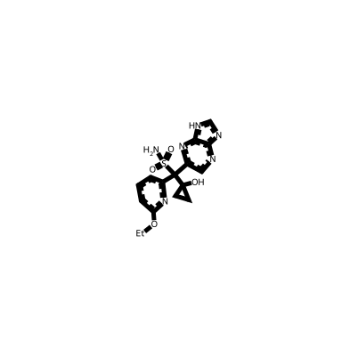 CCOc1cccc(C(c2cnc3nc[nH]c3n2)(C2(O)CC2)S(N)(=O)=O)n1